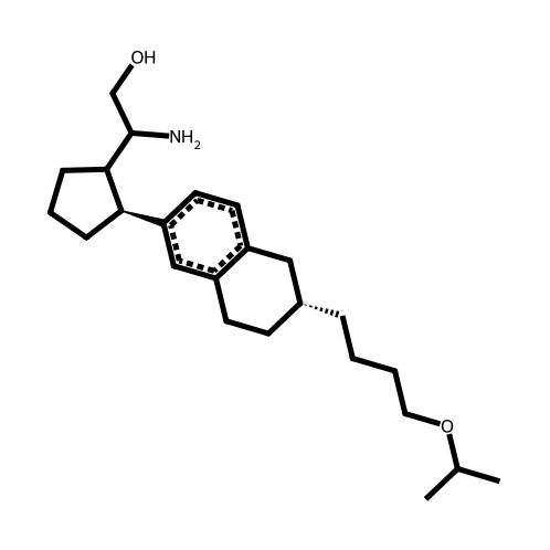 CC(C)OCCCC[C@@H]1CCc2cc([C@H]3CCCC3C(N)CO)ccc2C1